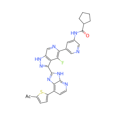 CC(=O)c1ccc(-c2ccnc3[nH]c(-c4n[nH]c5cnc(-c6cncc(NC(=O)C7CCCC7)c6)c(F)c45)nc23)s1